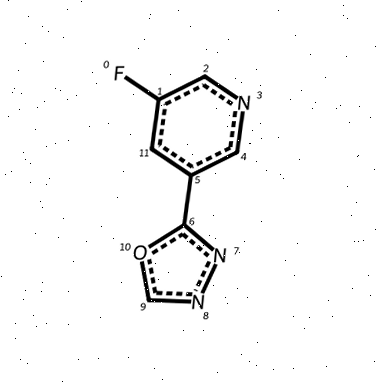 Fc1cncc(-c2nnco2)c1